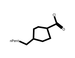 CCCCCCC1CCC(C(=O)Cl)CC1